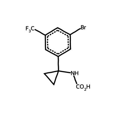 O=C(O)NC1(c2cc(Br)cc(C(F)(F)F)c2)CC1